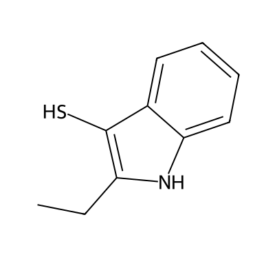 CCc1[nH]c2ccccc2c1S